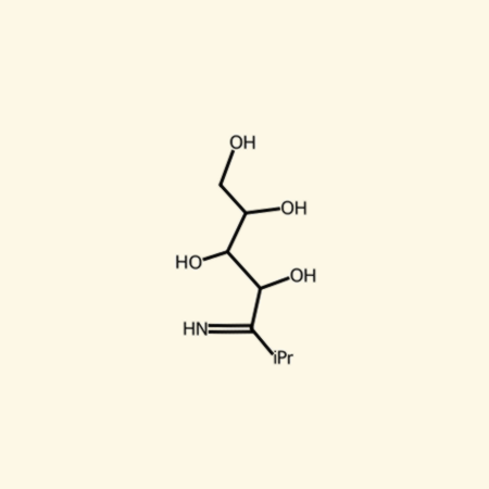 CC(C)C(=N)C(O)C(O)C(O)CO